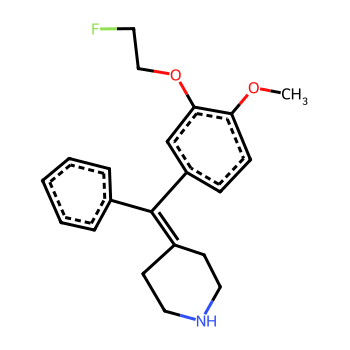 COc1ccc(C(=C2CCNCC2)c2ccccc2)cc1OCCF